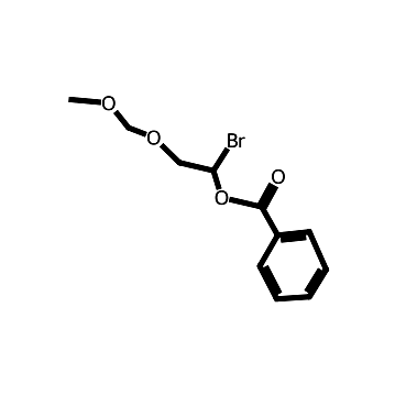 COCOCC(Br)OC(=O)c1ccccc1